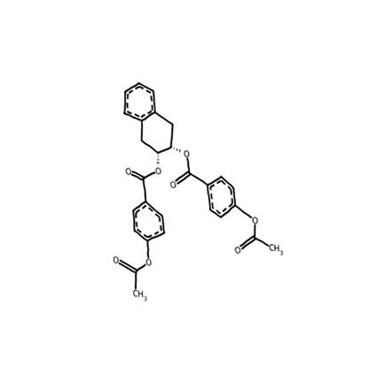 CC(=O)Oc1ccc(C(=O)O[C@H]2Cc3ccccc3C[C@H]2OC(=O)c2ccc(OC(C)=O)cc2)cc1